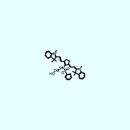 CN1/C(=C/C=C2\CCC(/C=C/C3=[N+](C)c4ccccc4C3(C)C)=C2N(SOOO)S(=O)(=O)c2ccccc2)C(C)(C)c2ccccc21